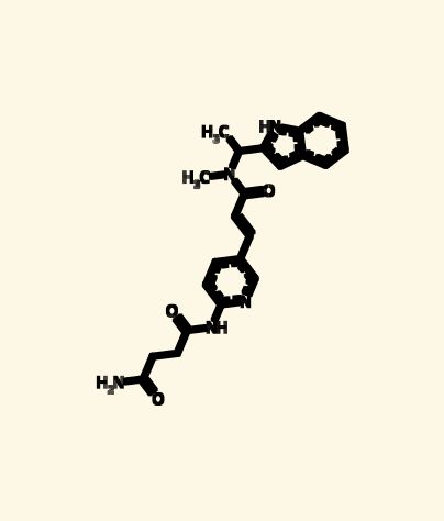 CC(c1cc2ccccc2[nH]1)N(C)C(=O)C=Cc1ccc(NC(=O)CCC(N)=O)nc1